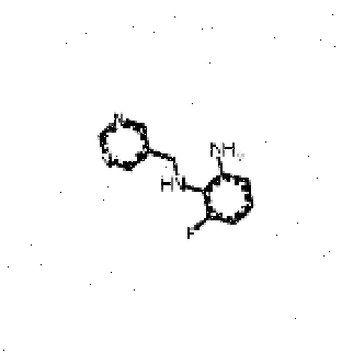 Nc1cccc(F)c1NCc1cncnc1